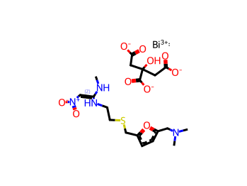 CN/C(=C/[N+](=O)[O-])NCCSCc1ccc(CN(C)C)o1.O=C([O-])CC(O)(CC(=O)[O-])C(=O)[O-].[Bi+3]